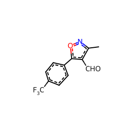 Cc1noc(-c2ccc(C(F)(F)F)cc2)c1C=O